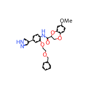 COc1ccc2c(c1)OC(C(=O)Nc1ccc(-c3cn[nH]c3)cc1OCCOCc1ccccc1)CO2